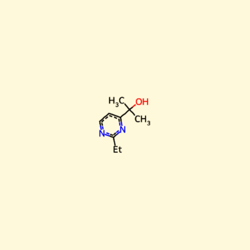 CCc1nccc(C(C)(C)O)n1